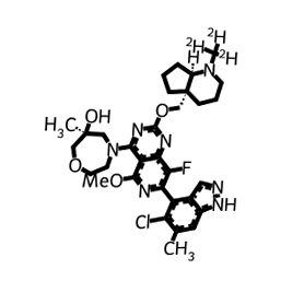 [2H]C([2H])([2H])N1CCC[C@@]2(COc3nc(N4CCOC[C@@](C)(O)C4)c4c(OC)nc(-c5c(Cl)c(C)cc6[nH]ncc56)c(F)c4n3)CCC[C@@H]12